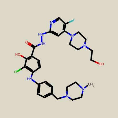 CN1CCN(Cc2ccc(Nc3ccc(C(=O)NNc4cc(N5CCN(CCO)CC5)c(F)cn4)c(O)c3Cl)cc2)CC1